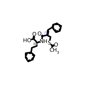 CC(=O)SC/C(=C\c1ccccc1)C(=O)N[C@@H](CCc1ccccc1)C(=O)O